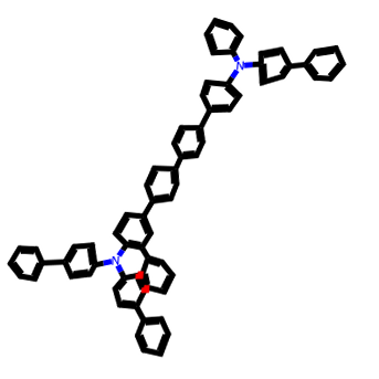 c1ccc(-c2ccc(N(c3ccccc3)c3ccc(-c4ccc(-c5ccc(-c6ccc(N(c7ccc(-c8ccccc8)cc7)c7ccc(-c8ccccc8)cc7)c(-c7ccccc7)c6)cc5)cc4)cc3)cc2)cc1